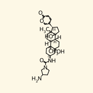 C[C@]12CC[C@H](NC(=O)N3CCC(N)C3)C[C@@]1(O)CC[C@@H]1[C@@H]2CC[C@]2(C)[C@@H](c3ccc(=O)oc3)CC[C@]12O